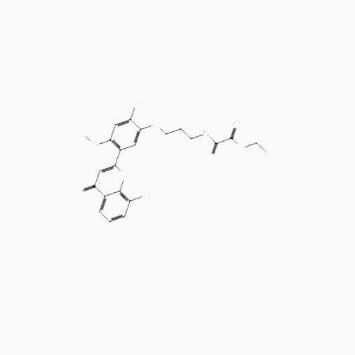 CCOC(=O)C(=O)NCCCOc1cc(-c2cc(=O)c3cccc(Cl)c3o2)c(OC)cc1Br